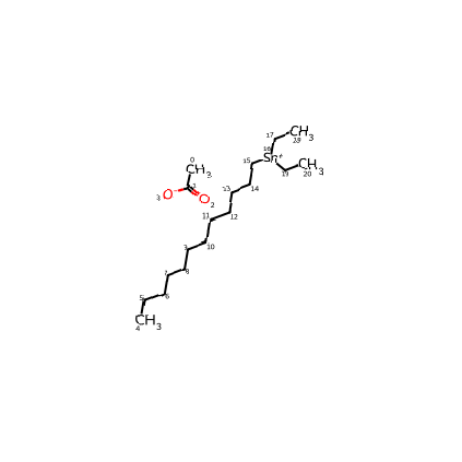 CC(=O)[O-].CCCCCCCCCCC[CH2][Sn+]([CH2]C)[CH2]C